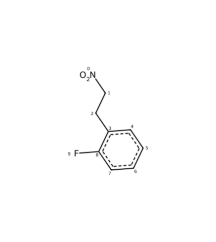 O=[N+]([O-])CCc1ccccc1F